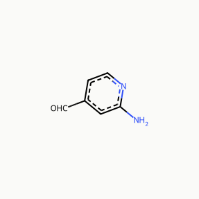 Nc1cc(C=O)ccn1